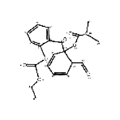 CCOC(=O)Oc1ccccc1C(=O)C1(OC(=O)N(C)C)C=CC=CC1[C]=O